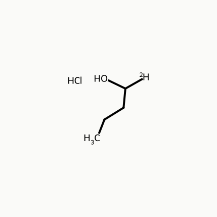 Cl.[2H]C(O)CCC